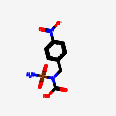 NS(=O)(=O)N(Cc1ccc([N+](=O)[O-])cc1)C(=O)O